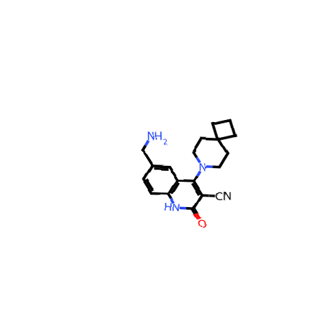 N#Cc1c(N2CCC3(CCC3)CC2)c2cc(CN)ccc2[nH]c1=O